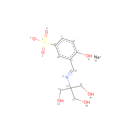 O=S(=O)([O-])c1ccc(O)c(/C=N/C(CO)(CO)CO)c1.[Na+]